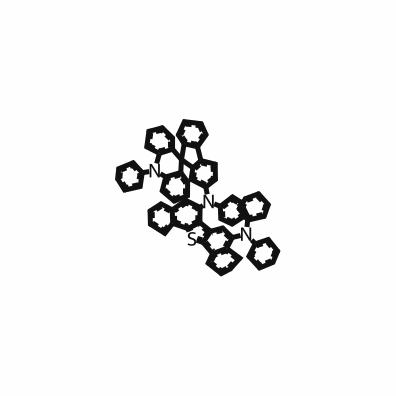 c1ccc(N2c3ccccc3C3(c4ccccc4-c4ccc(N(c5ccccc5)c5cc6ccccc6c6sc7c8ccccc8c(N(c8ccccc8)c8ccccc8)cc7c56)cc43)c3ccccc32)cc1